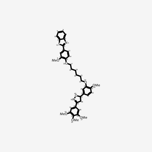 COc1cc(-c2nc3ccccc3s2)ccc1OCCCCCCOc1cc(C2CC(c3cc(OC)c(OC)c(OC)c3)=NO2)ccc1OC